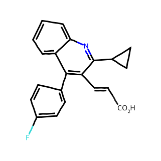 O=C(O)/C=C/c1c(C2CC2)nc2ccccc2c1-c1ccc(F)cc1